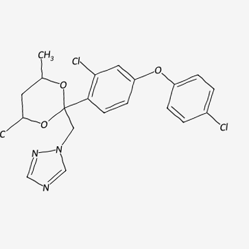 CC1CC(C)OC(Cn2cncn2)(c2ccc(Oc3ccc(Cl)cc3)cc2Cl)O1